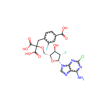 Nc1nc(Cl)nc2c1ncn2[C@@H]1O[C@H](COC(Cc2ccc(C(=O)O)cc2F)(C(=O)O)C(=O)O)[C@@H](O)[C@@H]1F